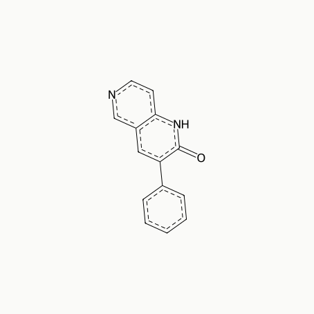 O=c1[nH]c2ccncc2cc1-c1ccccc1